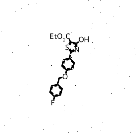 CCOC(=O)c1sc(-c2ccc(OCc3ccc(F)cc3)cc2)nc1O